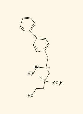 CC(CCO)(C[C@@H](Cc1ccc(-c2ccccc2)cc1)NP)C(=O)O